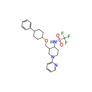 O=S(=O)(NC1CCN(c2ccccn2)CC1COC1CCC(c2ccccc2)CC1)C(F)(F)F